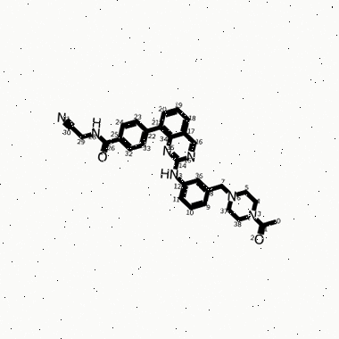 CC(=O)N1CCN(Cc2cccc(Nc3ncc4cccc(-c5ccc(C(=O)NCC#N)cc5)c4n3)c2)CC1